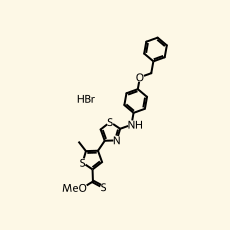 Br.COC(=S)c1cc(-c2csc(Nc3ccc(OCc4ccccc4)cc3)n2)c(C)s1